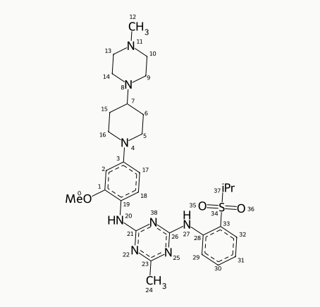 COc1cc(N2CCC(N3CCN(C)CC3)CC2)ccc1Nc1nc(C)nc(Nc2ccccc2S(=O)(=O)C(C)C)n1